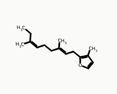 CCC(C)=CCC/C(C)=C/Cc1occc1C